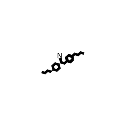 CCCCc1ccc(CC(C#N)[C@H]2CC[C@H](CCCC)CC2)cc1